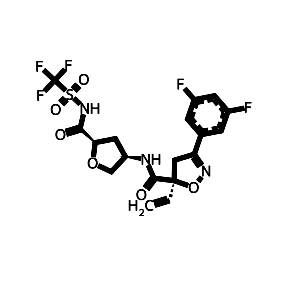 C=C[C@]1(C(=O)N[C@H]2CO[C@@H](C(=O)NS(=O)(=O)C(F)(F)F)C2)CC(c2cc(F)cc(F)c2)=NO1